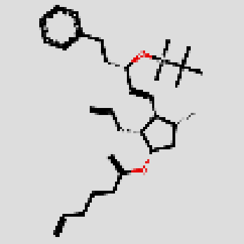 C=CCCCC(=C)O[C@H]1C[C@@H](C)[C@H](/C=C/[C@H](CCc2ccccc2)O[Si](C)(C)C(C)(C)C)[C@H]1CC=C